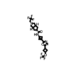 O=C(NC12CC(c3nnc(C4CC(OC(F)(F)F)C4)o3)(C1)C2)[C@H]1C[C@@H]2CN(CC(F)(F)F)C[C@@H]2C1